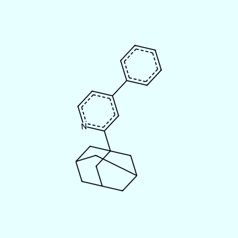 c1ccc(-c2ccnc(C34CC5CC(CC(C5)C3)C4)c2)cc1